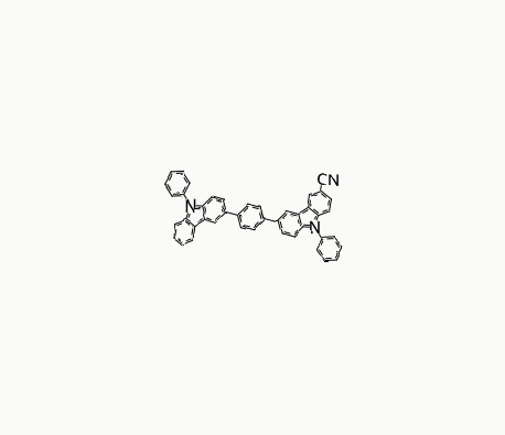 N#Cc1ccc2c(c1)c1cc(-c3ccc(-c4ccc5c(c4)c4ccccc4n5-c4ccccc4)cc3)ccc1n2-c1ccccc1